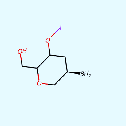 B[C@H]1COC(CO)C(OI)C1